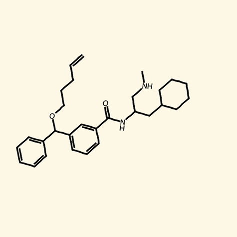 C=CCCCOC(c1ccccc1)c1cccc(C(=O)NC(CNC)CC2CCCCC2)c1